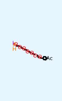 CC(=O)c1ccc(COCCOCCOCCOCCOCCOCCOPI)cc1